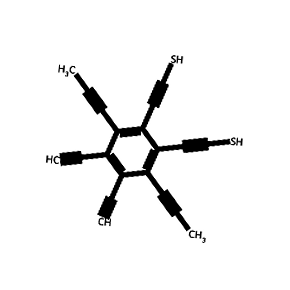 C#Cc1c(C#C)c(C#CC)c(C#CS)c(C#CS)c1C#CC